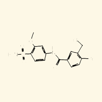 COc1cc(NC(=O)c2ccc(Br)c(CCl)c2)ccc1S(N)(=O)=O